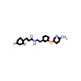 Cc1ccc(Oc2cccc(CCNC(=O)C=Cc3ccc(F)cc3F)c2)cn1